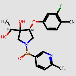 C[C@@H](O)C1(O)CN([S+]([O-])c2ccc(C(F)(F)F)nc2)C[C@@H]1Oc1ccc(C#N)c(F)c1